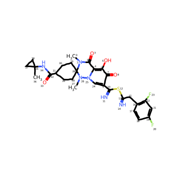 CN1C(=O)c2c(O)c(=O)c(C(=N)SC(=N)Cc3ccc(F)cc3F)cn2N(C)C12CCC(C(=O)NC1(C)CC1)CC2